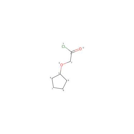 O=C(Cl)COC1CCCC1